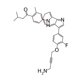 Cc1cc(N/C2=C\C/C=C\C=C3\C(c4ccc(OCC#CCN)c(F)c4)=CN=C23)ccc1C(=O)CC(C)C